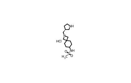 CS(=O)(=O)NC1CCC2(CC1)CN(C[C@H]1CCNC1)C2.Cl